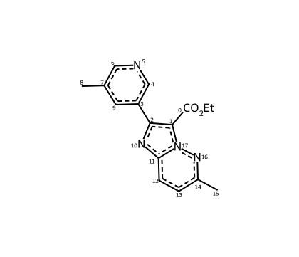 CCOC(=O)c1c(-c2cncc(C)c2)nc2ccc(C)nn12